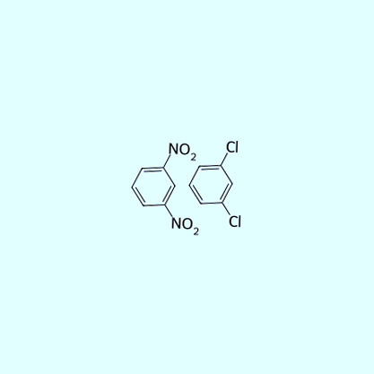 Clc1cccc(Cl)c1.O=[N+]([O-])c1cccc([N+](=O)[O-])c1